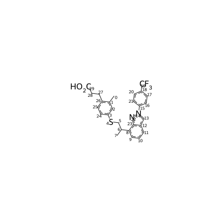 Cc1cc(SCC(C)c2cccc3cn(-c4ccc(C(F)(F)F)cc4)nc23)ccc1CCC(=O)O